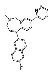 CN1CC=C(c2ccc3cc(F)ccc3c2)c2ccc(-c3cccnn3)cc2C1